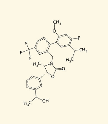 COc1cc(F)c(C(C)C)cc1-c1ccc(C(F)(F)F)cc1CN1C(=O)O[C@H](c2cccc(C(C)O)c2)[C@@H]1C